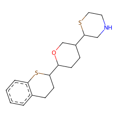 c1ccc2c(c1)CCC(C1CCC(C3CNCCS3)CO1)S2